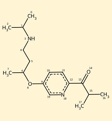 CC(C)NCCC(C)Oc1ccc(C(=O)C(C)C)nc1